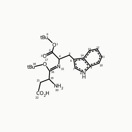 CC(C)(C)OC(=O)C(Cc1c[nH]c2ccccc12)N=C(OC(C)(C)C)C(N)CC(=O)O